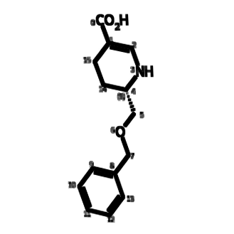 O=C(O)C1=CN[C@H](COCc2ccccc2)CC1